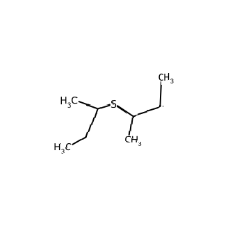 C[CH]C(C)SC(C)CC